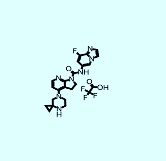 O=C(Nc1cc(F)c2nccn2c1)N1CCc2c(N3CCNC4(CC4)C3)ccnc21.O=C(O)C(F)(F)F